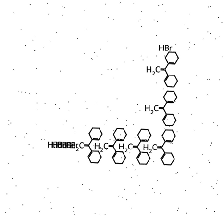 Br.Br.Br.Br.Br.Br.C=C(C1=CCCCC1)C1=CCCCC1.C=C(C1=CCCCC1)C1=CCCCC1.C=C(C1=CCCCC1)C1=CCCCC1.C=C(C1=CCCCC1)C1=CCCCC1.C=C(C1=CCCCC1)C1=CCCCC1.C=C(C1=CCCCC1)C1=CCCCC1